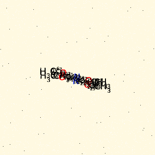 CC(C)[C@]1(C)CCC[C@@H](OC(=O)c2ccc(-c3cnc(-c4ccc(C(=O)O[C@@H]5CCC[C@@](C)(C(C)C)C5)cc4)nc3)cc2)C1